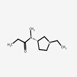 CCC(=O)N(C)[C@H]1CCN(CC)C1